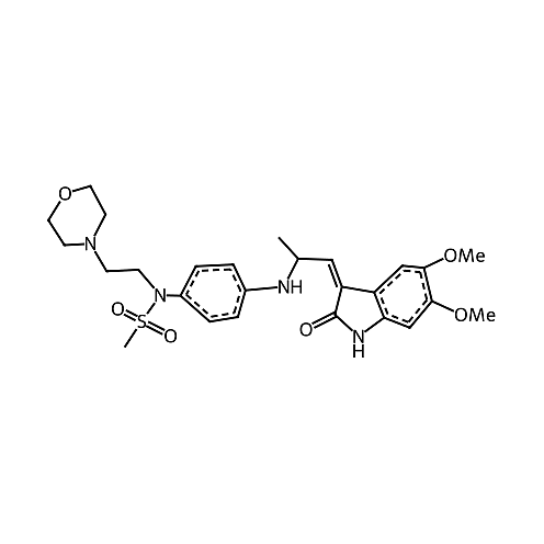 COc1cc2c(cc1OC)C(=CC(C)Nc1ccc(N(CCN3CCOCC3)S(C)(=O)=O)cc1)C(=O)N2